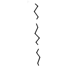 [CH2]CCCOCCCCOCCCC